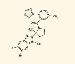 Cc1ccc(-n2nccn2)c(C(=O)N2CCCC2(C)c2nc3cc(F)c(Br)cc3n2C)c1